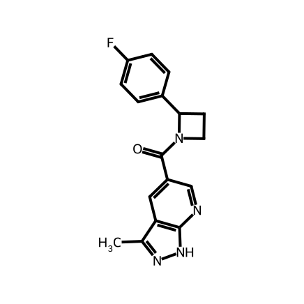 Cc1n[nH]c2ncc(C(=O)N3CCC3c3ccc(F)cc3)cc12